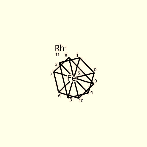 [CH]12[CH]3[CH]4[CH]5[CH]1[Fe]23451678[CH]2[CH]1[CH]6[CH]7[CH]28.[Rh]